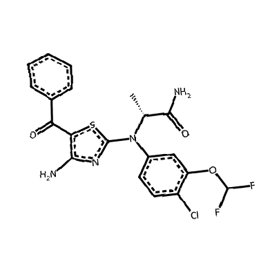 C[C@H](C(N)=O)N(c1ccc(Cl)c(OC(F)F)c1)c1nc(N)c(C(=O)c2ccccc2)s1